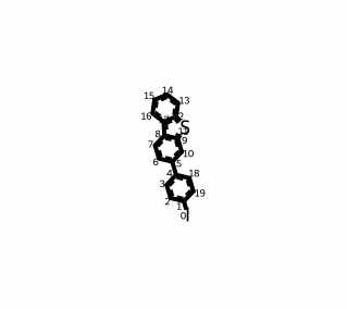 Ic1ccc(-c2ccc3c(c2)sc2ccccc23)cc1